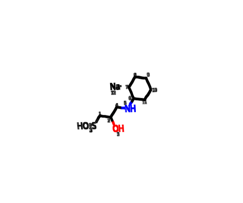 O=S(=O)(O)CC(O)CNC1CCCCC1.[Na]